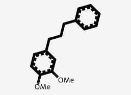 COc1ccc(C[CH]Cc2ccccc2)cc1OC